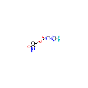 O=C(CCOCCc1cccc2c(=O)[nH]ncc12)N1CCN(c2ncc(C(F)F)cn2)CC1